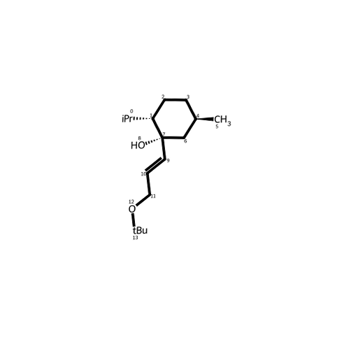 CC(C)[C@@H]1CC[C@@H](C)C[C@@]1(O)C=CCOC(C)(C)C